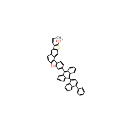 C/C=C\c1c(O)sc2cc3c(ccc4oc5cc(-c6c7ccccc7c(-c7ccc(-c8ccccc8)c8ccccc78)c7ccccc67)ccc5c43)cc12